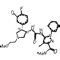 CNC(=O)c1nn(-c2ccccc2)c(NC(=O)N[C@H]2CN(CCOC)C[C@@H]2c2ccc(F)c(Cl)c2)c1C